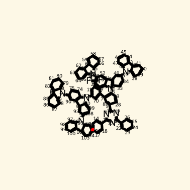 FC(F)(F)c1cc(-c2cc(-c3nc(-c4ccccc4)nc(-c4ccccc4)n3)ccc2-n2c3ccc(-n4c5ccccc5c5ccccc54)cc3c3cc(-n4c5ccccc5c5ccccc54)ccc32)cc(-n2c3ccc(-n4c5ccccc5c5ccccc54)cc3c3cc(-n4c5ccccc5c5ccccc54)ccc32)c1